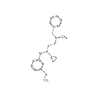 CSc1cccc(OC(CCN(C)Cc2ccccc2)C2CC2)c1